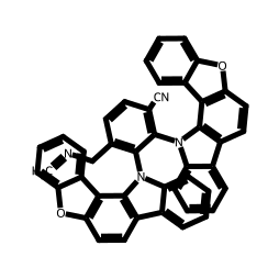 C=NCc1ccc(C#N)c(-n2c3ccccc3c3ccc4oc5ccccc5c4c32)c1-n1c2ccccc2c2ccc3oc4ccccc4c3c21